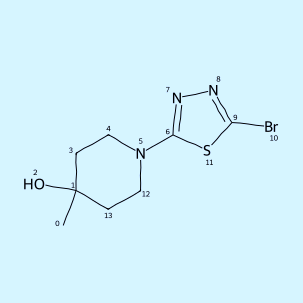 CC1(O)CCN(c2nnc(Br)s2)CC1